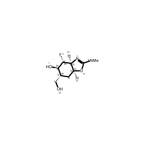 CNC1=N[C@@H]2[C@@H](F)[C@H](O)[C@@H](CO)C[C@@H]2O1